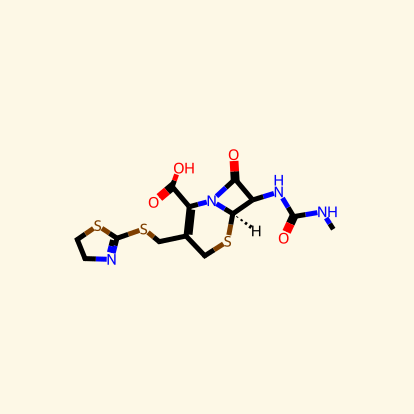 CNC(=O)NC1C(=O)N2C(C(=O)O)=C(CSC3=NCCS3)CS[C@H]12